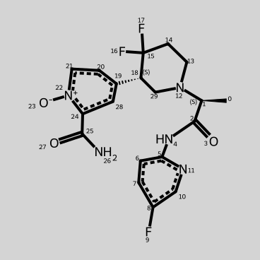 C[C@@H](C(=O)Nc1ccc(F)cn1)N1CCC(F)(F)[C@@H](c2cc[n+]([O-])c(C(N)=O)c2)C1